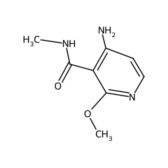 CNC(=O)c1c(N)ccnc1OC